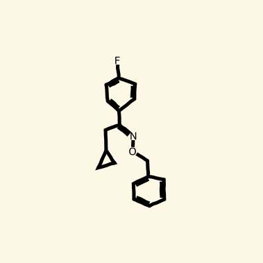 Fc1ccc(C(CC2CC2)=NOCc2ccccc2)cc1